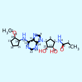 CCC(=O)N[C@H]1C[C@@H](n2cnc3c(NC4CCCC4OC)ncnc32)[C@H](O)[C@@H]1O